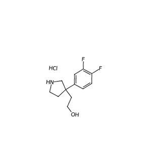 Cl.OCCC1(c2ccc(F)c(F)c2)CCNC1